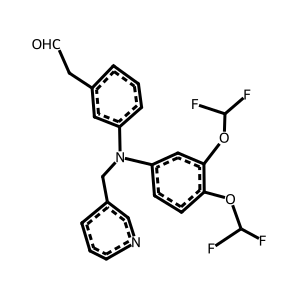 O=CCc1cccc(N(Cc2cccnc2)c2ccc(OC(F)F)c(OC(F)F)c2)c1